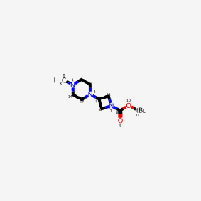 CN1CCN(C2CN(C(=O)OC(C)(C)C)C2)CC1